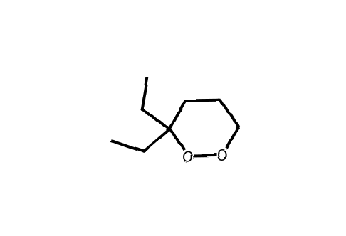 CCC1(CC)CCCOO1